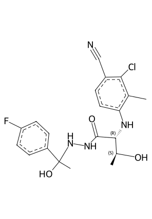 Cc1c(N[C@@H](C(=O)NNC(C)(O)c2ccc(F)cc2)[C@H](C)O)ccc(C#N)c1Cl